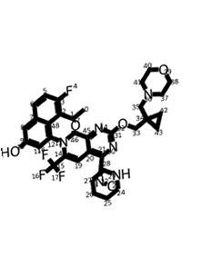 CCc1c(F)ccc2cc(O)cc(-n3c(C(F)(F)F)cc4c(N5CC6CCC5CN6)nc(OCC5(CN6CCOCC6)CC5)nc4c3=O)c12